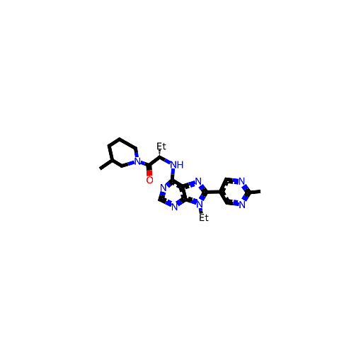 CC[C@H](Nc1ncnc2c1nc(-c1cnc(C)nc1)n2CC)C(=O)N1CCCC(C)C1